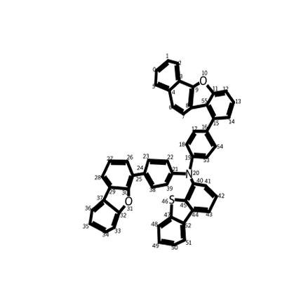 c1ccc2c(c1)ccc1c2oc2cccc(-c3ccc(N(c4ccc(-c5cccc6c5oc5ccccc56)cc4)c4cccc5c4sc4ccccc45)cc3)c21